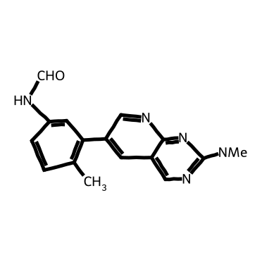 CNc1ncc2cc(-c3cc(NC=O)ccc3C)cnc2n1